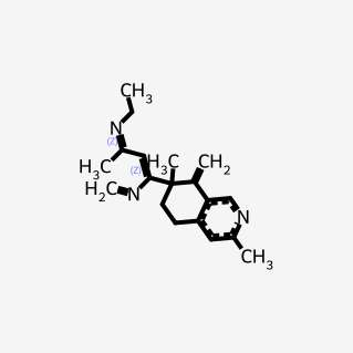 C=N/C(=C\C(C)=N/CC)C1(C)CCc2cc(C)ncc2C1=C